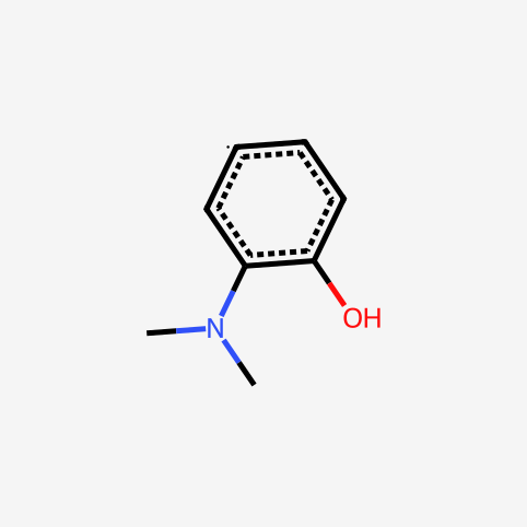 CN(C)c1c[c]ccc1O